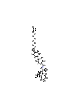 COCCCCCCCCOc1ccc(-c2ccc(/C=C/C(=O)n3n[n+]([O-])c4ccccc43)cc2)cc1